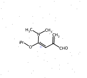 C=C(C=O)/C=C(/OC(C)C)N(C)C